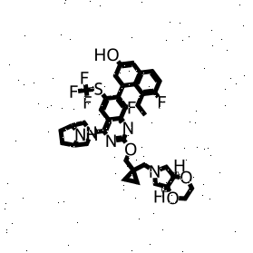 CCc1c(F)ccc2c1C(c1c(SC(F)(F)F)cc3c(N4CC5CCC(C4)N5)nc(OCC4(CN5C[C@@H]6OCCO[C@@H]6C5)CC4)nc3c1F)CC(O)=C2